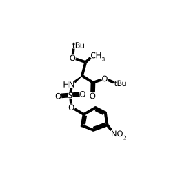 CC(OC(C)(C)C)[C@H](NS(=O)(=O)Oc1ccc([N+](=O)[O-])cc1)C(=O)OC(C)(C)C